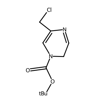 CC(C)(C)OC(=O)N1C=C(CCl)N=CC1